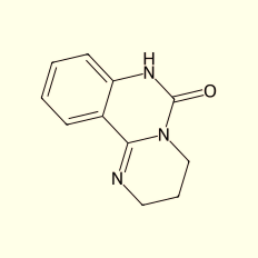 O=C1Nc2ccccc2C2=NCCCN12